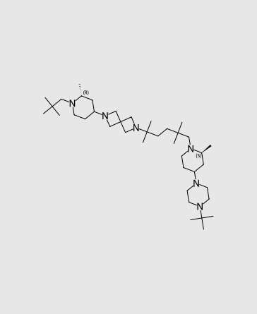 C[C@@H]1CC(N2CC3(C2)CN(C(C)(C)CCC(C)(C)CN2CCC(N4CCN(C(C)(C)C)CC4)C[C@@H]2C)C3)CCN1CC(C)(C)C